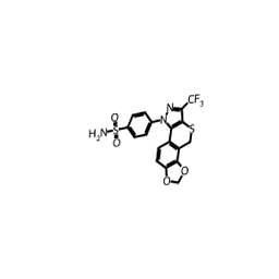 NS(=O)(=O)c1ccc(-n2nc(C(F)(F)F)c3c2-c2ccc4c(c2CS3)OCO4)cc1